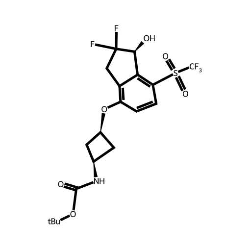 CC(C)(C)OC(=O)N[C@H]1C[C@@H](Oc2ccc(S(=O)(=O)C(F)(F)F)c3c2CC(F)(F)[C@H]3O)C1